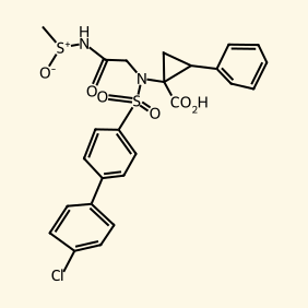 C[S+]([O-])NC(=O)CN(C1(C(=O)O)CC1c1ccccc1)S(=O)(=O)c1ccc(-c2ccc(Cl)cc2)cc1